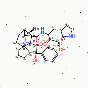 O=C1NCC[C@H]1C[C@H](NC(=O)[C@H]1C2CCC(CC2)N1C(=O)[C@](O)(c1ccccc1)C1CCCC1)C(=O)CO